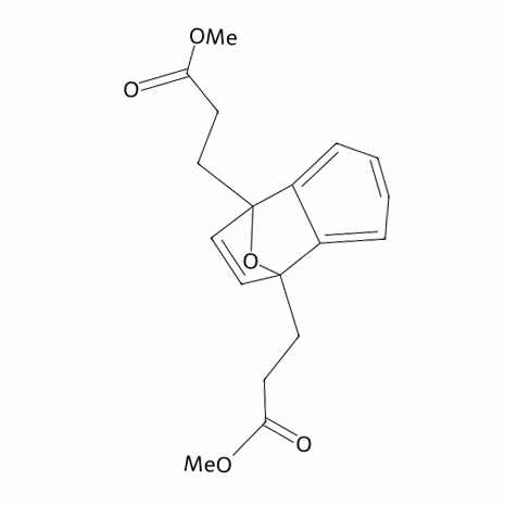 COC(=O)CCC12C=CC(CCC(=O)OC)(O1)c1ccccc12